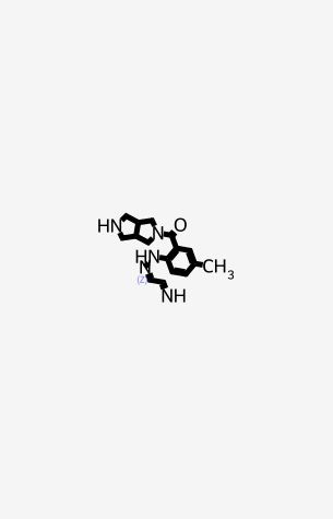 Cc1ccc(N/N=C\C=N)c(C(=O)N2CC3CNCC3C2)c1